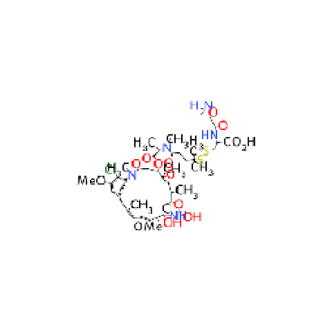 COc1cc2cc(c1Cl)N(C)C(=O)CC(OC(=O)C(C)N(C)C(=O)CCC(C)(C)SSCC(NC(=O)CON)C(=O)O)C1(C)OC1C(C)C1CC(O)(NC(O)O1)C(OC)/C=C/C=C(\C)C2